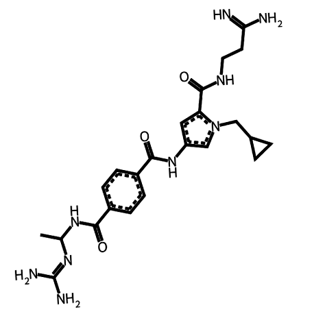 CC(N=C(N)N)NC(=O)c1ccc(C(=O)Nc2cc(C(=O)NCCC(=N)N)n(CC3CC3)c2)cc1